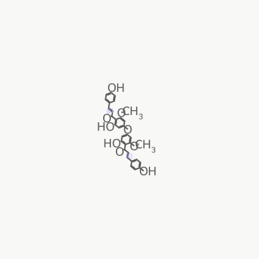 COc1cc(Oc2cc(O)c(C(=O)/C=C/c3ccc(O)cc3)c(OC)c2)cc(O)c1C(=O)/C=C/c1ccc(O)cc1